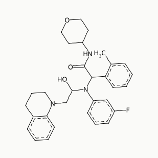 Cc1ccccc1C(C(=O)NC1CCOCC1)N(c1cccc(F)c1)C(O)CN1CCCc2ccccc21